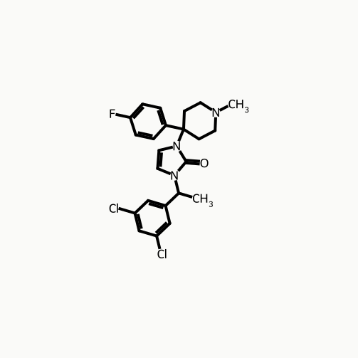 CC(c1cc(Cl)cc(Cl)c1)n1ccn(C2(c3ccc(F)cc3)CCN(C)CC2)c1=O